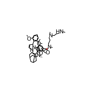 [CH]NC12CC3CC(C1)CC(N1C=CC(c4c(OC)cccc4OC)N1c1ccc(C(=O)N(C)CCCN(C)CCCNC)cc1C(C)C)(C3)C2C(=O)OC(C)(C)C